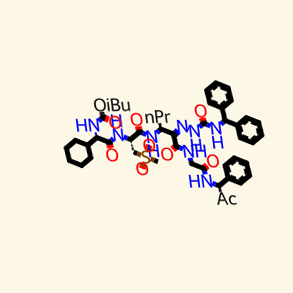 CCC[C@H](NC(=O)[C@H](CS(C)(=O)=O)NC(=O)[C@@H](NC(=O)OCC(C)C)C1CCCCC1)C(=NNC(=O)NC(c1ccccc1)c1ccccc1)C(=O)NCC(=O)N[C@H](C(C)=O)c1ccccc1